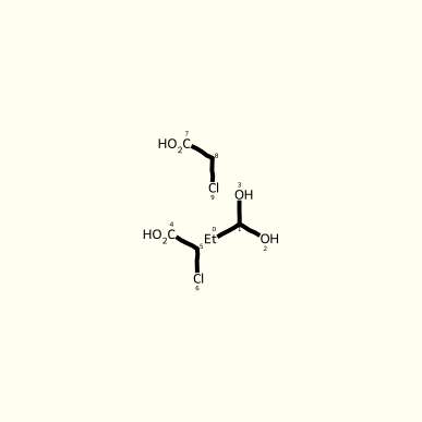 CCC(O)O.O=C(O)CCl.O=C(O)CCl